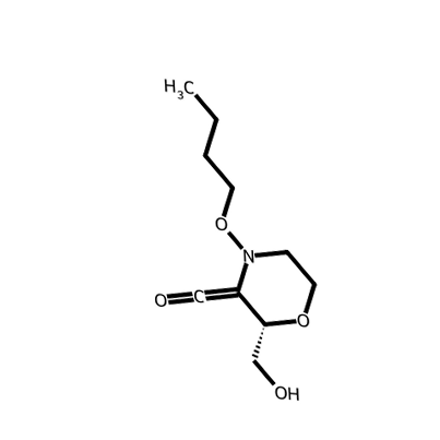 CCCCON1CCO[C@H](CO)C1=C=O